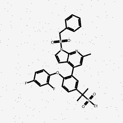 CCS(=O)(=O)C(C)(C)c1ccc(Oc2ccc(F)cc2F)c(-c2cc(C)nc3c2ccn3S(=O)(=O)Cc2ccccc2)c1